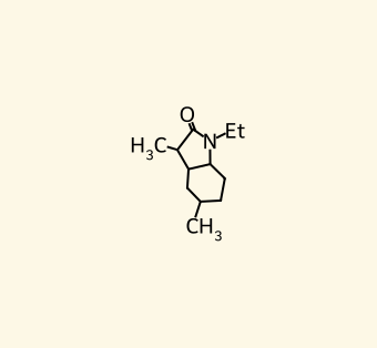 CCN1C(=O)C(C)C2CC(C)CCC21